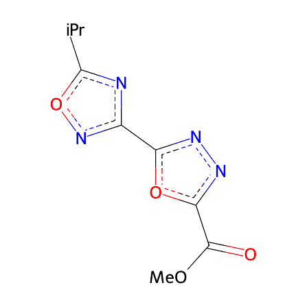 COC(=O)c1nnc(-c2noc(C(C)C)n2)o1